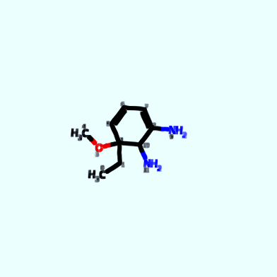 CCC1(OC)C=CC=C(N)C1N